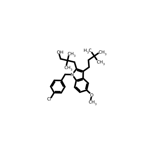 COc1ccc2c(c1)c(CCC(C)(C)C)c(CC(C)(C)CO)n2Cc1ccc(Cl)cc1